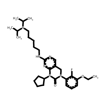 CCOc1cccc(N2Cc3cnc(NCCCCCN(C(C)C)C(C)C)nc3N(C3CCCC3)C2=O)c1F